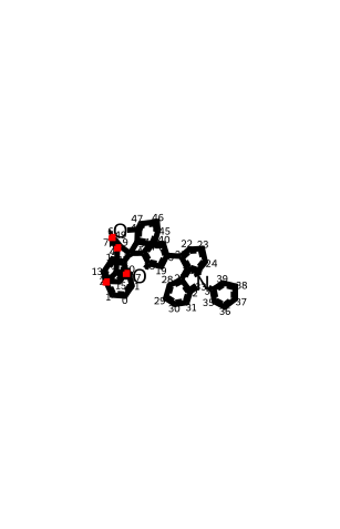 c1ccc(-c2cccc3c2C2(c4ccccc4Oc4cc(-c5cccc6c5c5ccccc5n6-c5ccccc5)ccc42)c2ccccc2O3)cc1